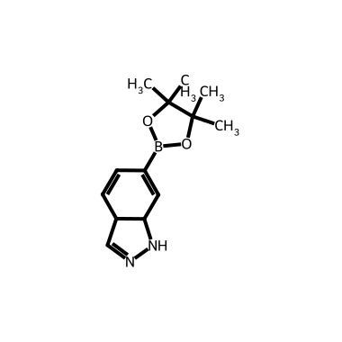 CC1(C)OB(C2=CC3NN=CC3C=C2)OC1(C)C